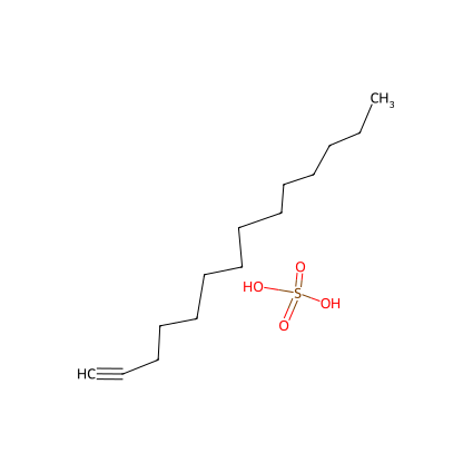 C#CCCCCCCCCCCCC.O=S(=O)(O)O